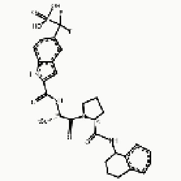 CC(C)(C)[C@H](NC(=O)c1cc2cc(C(F)(F)P(=O)(O)O)ccc2[nH]1)C(=O)N1CCC[C@H]1C(=O)NC1CCCc2ccccc21